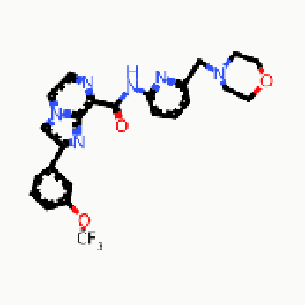 O=C(Nc1cccc(CN2CCOCC2)n1)c1nccn2cc(-c3cccc(OC(F)(F)F)c3)nc12